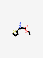 CCOC(=O)C1N[C@@H]1c1cccs1